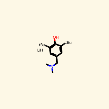 CN(C)Cc1cc(C(C)(C)C)c(O)c(C(C)(C)C)c1.[LiH]